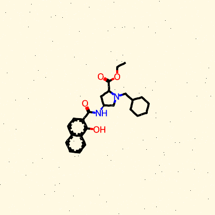 CCOC(=O)C1C[C@H](NC(=O)c2ccc3ccccc3c2O)CN1CC1CCCCC1